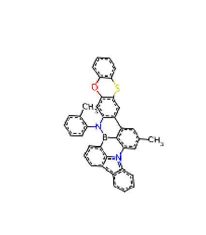 Cc1cc2c3c(c1)-n1c4ccccc4c4cccc(c41)B3N(c1ccccc1C)c1cc3c(cc1-2)Sc1ccccc1O3